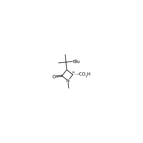 CN1C(=O)C(C(C)(C)C(C)(C)C)[C@@H]1C(=O)O